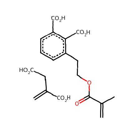 C=C(C)C(=O)OCCc1cccc(C(=O)O)c1C(=O)O.C=C(CC(=O)O)C(=O)O